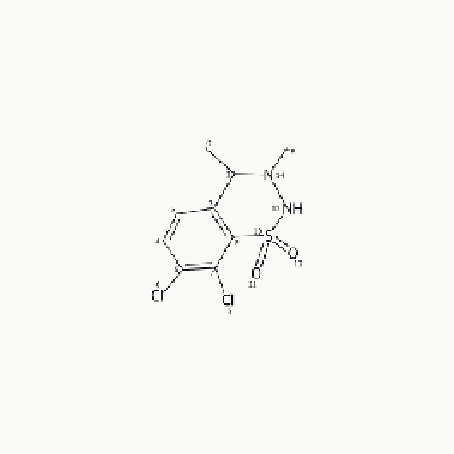 CC1c2ccc(Cl)c(Cl)c2S(=O)(=O)NN1C